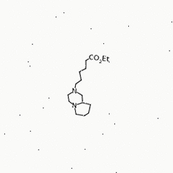 CCOC(=O)CCCCCN1CCN2CCCCC2C1